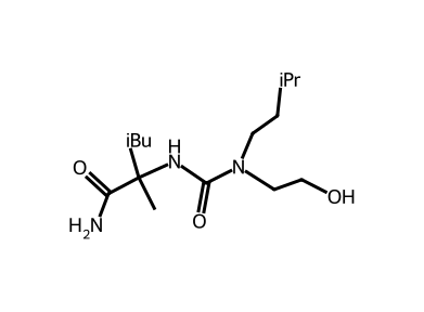 CCC(C)C(C)(NC(=O)N(CCO)CCC(C)C)C(N)=O